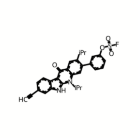 C#Cc1ccc2c(c1)[nH]c1c2c(=O)c2cc(C(C)C)c(-c3cccc(OS(=O)(=O)F)c3)cc2n1C(C)C